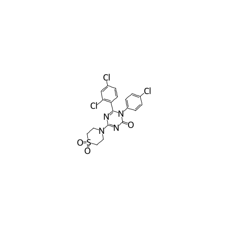 O=c1nc(N2CCS(=O)(=O)CC2)nc(-c2ccc(Cl)cc2Cl)n1-c1ccc(Cl)cc1